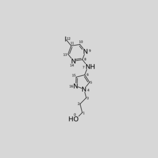 OCCCn1cc(Nc2ncc(I)cn2)cn1